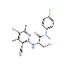 Cc1nc(NC(CO)C(=O)N(C)c2ccc(F)cc2)c(C#N)c(C)c1Cl